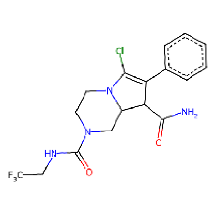 NC(=O)C1C(c2ccccc2)=C(Cl)N2CCN(C(=O)NCC(F)(F)F)CC12